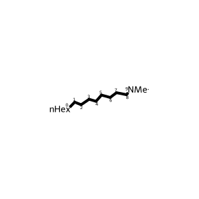 CCCCCCCCCCCCCC[N]C